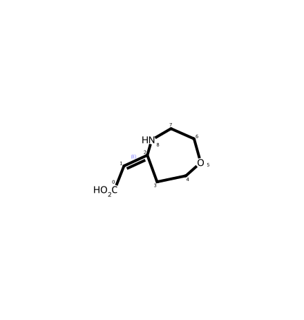 O=C(O)/C=C1\CCOCCN1